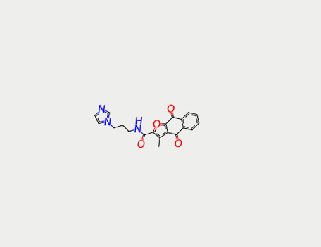 Cc1c(C(=O)NCCCn2ccnc2)oc2c1C(=O)c1ccccc1C2=O